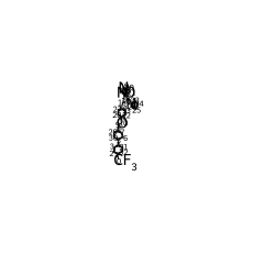 FC(F)(F)c1ccc(-c2ccc(COc3ccc(C[C@@H](c4nnco4)n4cccc4)cc3)cc2)cc1